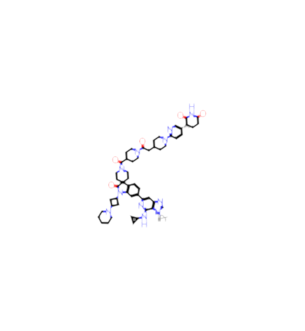 CC(C)n1cnc2cc(-c3ccc4c(c3)N(C3CC(N5CCCCC5)C3)C(=O)C43CCN(C(=O)C4CCN(C(=O)CC5CCN(c6ccc([C@H]7CCC(=O)NC7=O)cn6)CC5)CC4)CC3)nc(NC3CC3)c21